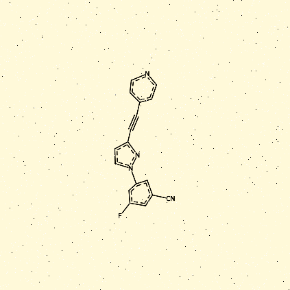 N#Cc1cc(F)cc(-n2ccc(C#Cc3ccncc3)n2)c1